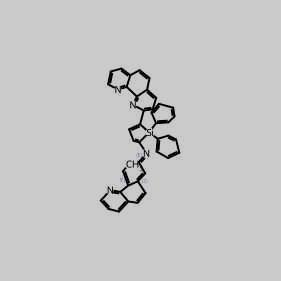 C\C=c1/c(=C\C=N\C2=CC=C(c3ccc4ccc5cccnc5c4n3)[Si]2(c2ccccc2)c2ccccc2)ccc2cccnc12